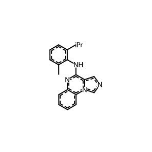 Cc1cccc(C(C)C)c1Nc1nc2ccccc2n2cncc12